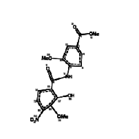 COC(=O)c1ccc(NC(=O)c2ccc([N+](=O)[O-])c(OC)c2O)c(OC)c1